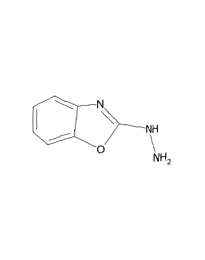 NNc1nc2ccccc2o1